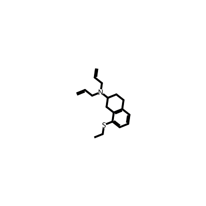 C=CCN(CC=C)C1CCc2cccc(SCC)c2C1